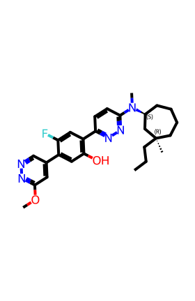 CCC[C@]1(C)CCCC[C@H](N(C)c2ccc(-c3cc(F)c(-c4cnnc(OC)c4)cc3O)nn2)C1